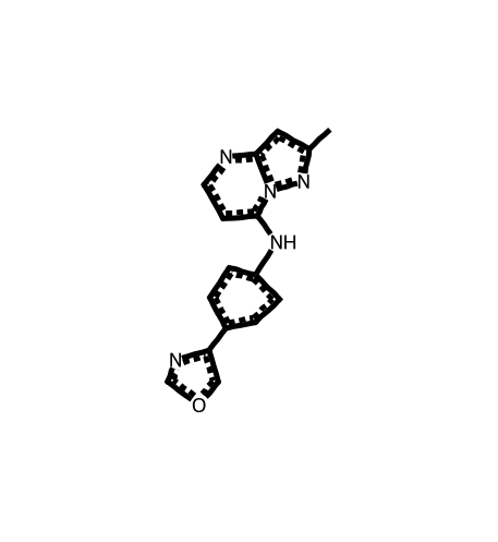 Cc1cc2nccc(Nc3ccc(-c4cocn4)cc3)n2n1